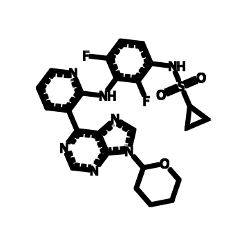 O=S(=O)(Nc1ccc(F)c(Nc2ncccc2-c2ncnc3c2ncn3C2CCCCO2)c1F)C1CC1